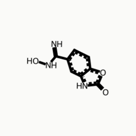 N=C(NO)c1ccc2oc(=O)[nH]c2c1